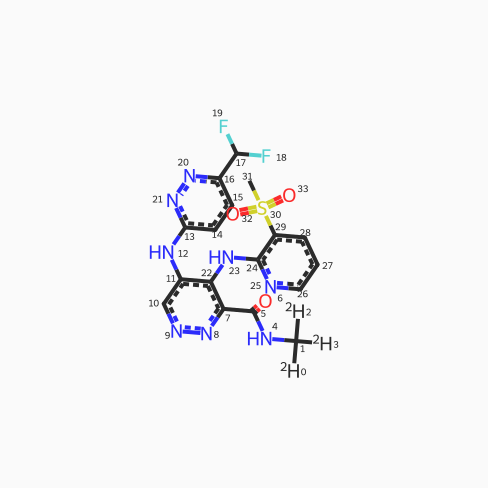 [2H]C([2H])([2H])NC(=O)c1nncc(Nc2ccc(C(F)F)nn2)c1Nc1ncccc1S(C)(=O)=O